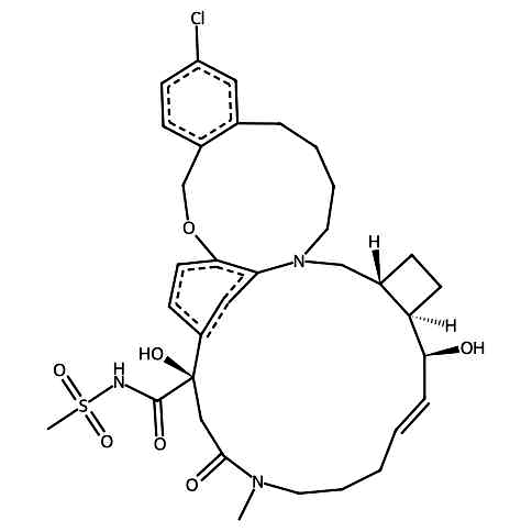 CN1CCC/C=C/[C@H](O)[C@@H]2CC[C@H]2CN2CCCCc3cc(Cl)ccc3COc3ccc(cc32)[C@@](O)(C(=O)NS(C)(=O)=O)CC1=O